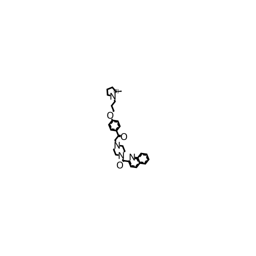 C[C@@H]1CCCN1CCCOc1ccc(C(=O)CN2CCN(C(=O)c3ccc4ccccc4n3)CC2)cc1